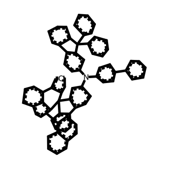 c1ccc(-c2ccc(N(c3ccc4c(c3)C(c3ccccc3)(c3ccccc3)c3ccccc3-4)c3ccc4c(c3)C3(c5ccccc5-4)c4ccccc4-c4cccc5ccc(-c6cccc7ccccc67)c3c45)cc2)cc1